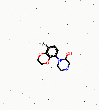 Cc1ccc(N2CCNCC2O)c2c1OCCO2